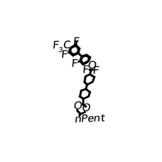 CCCCCC1COC(C2CCC(C3CCC(C(F)(F)Oc4ccc(-c5cc(F)c(C(F)(F)F)c(F)c5)c(F)c4)CC3)CC2)OC1